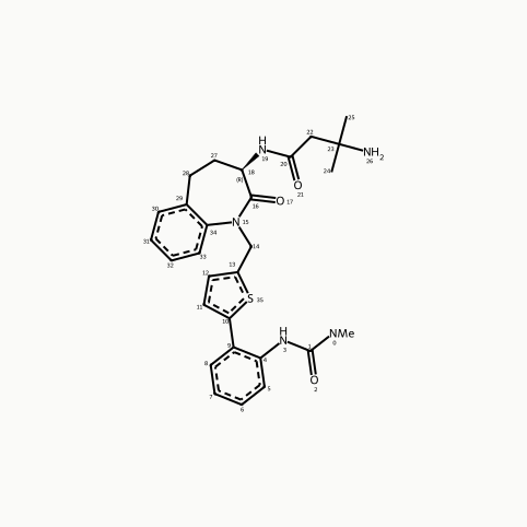 CNC(=O)Nc1ccccc1-c1ccc(CN2C(=O)[C@H](NC(=O)CC(C)(C)N)CCc3ccccc32)s1